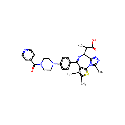 Cc1sc2c(c1C)C(c1ccc(N3CCN(C(=O)c4ccncc4)CC3)cc1)=N[C@@H](C(C)C(=O)O)c1nnc(C)n1-2